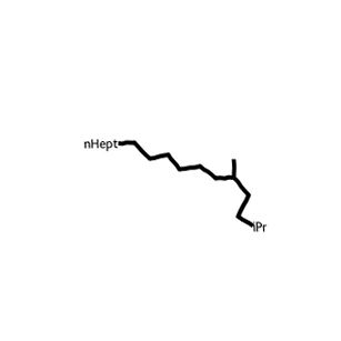 [CH2]C(C)CCC(C)CCCCCCCCCCCCC